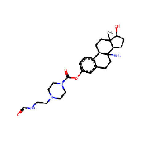 CC12CCC3c4ccc(OC(=O)N5CCN(CCNC=O)CC5)cc4CCC3(N)C1CCC2O